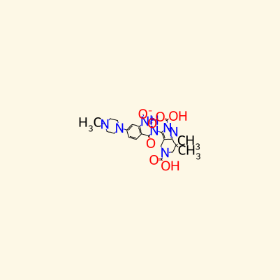 CN1CCN(c2ccc(C(=O)Nc3c4c(nn3C(=O)O)C(C)(C)CN(C(=O)O)C4)c([N+](=O)[O-])c2)CC1